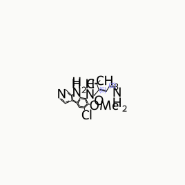 C=C(C)/C(=C\C=C/N)C(=O)Nc1c(OC)c(Cl)cc2c1[nH]c1cnccc12